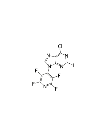 Fc1nc(F)c(F)c(-n2cnc3c(Cl)nc(I)nc32)c1F